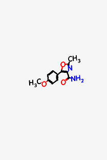 COc1ccc(-c2oc(C)nc2C(N)=O)cc1